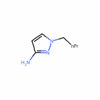 [CH2]CCCn1ccc(N)n1